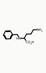 NCCCC(NCc1ccccc1)C(=O)O